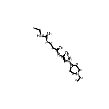 CCNC(=O)SCCC(=O)[N-]c1c[n+](N2CCN(CC)CC2)no1